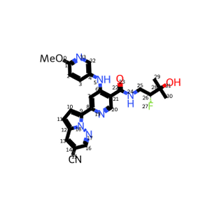 COc1ccc(Nc2cc(-c3ccc4cc(C#N)cnn34)ncc2C(=O)NC[C@@H](F)C(C)(C)O)cn1